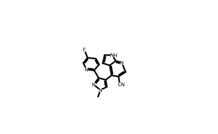 Cn1cc(-c2c(C#N)cnc3[nH]ccc23)c(-c2ccc(F)cn2)n1